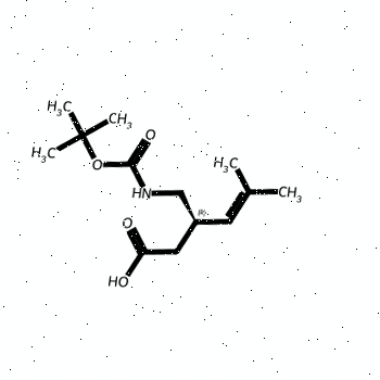 CC(C)=C[C@H](CNC(=O)OC(C)(C)C)CC(=O)O